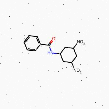 O=C(NC1CC([N+](=O)[O-])CC([N+](=O)[O-])C1)c1ccccc1